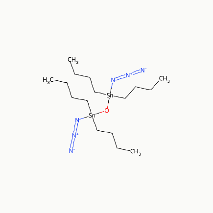 CCC[CH2][Sn]([CH2]CCC)([N]=[N+]=[N-])[O][Sn]([CH2]CCC)([CH2]CCC)[N]=[N+]=[N-]